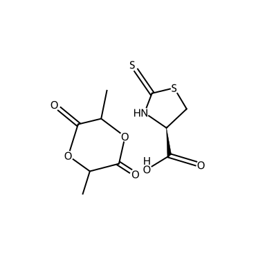 CC1OC(=O)C(C)OC1=O.O=C(O)[C@@H]1CSC(=S)N1